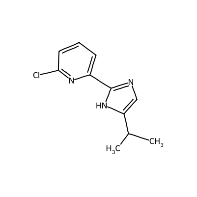 CC(C)c1cnc(-c2cccc(Cl)n2)[nH]1